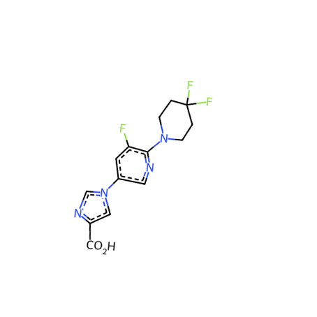 O=C(O)c1cn(-c2cnc(N3CCC(F)(F)CC3)c(F)c2)cn1